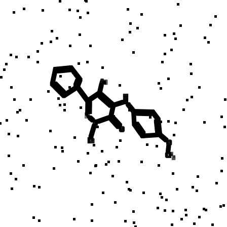 CCn1nc(-c2ccccc2)c(C(C)=O)c(Nc2ccc(OC(F)(F)F)cc2)c1=O